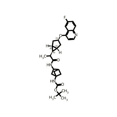 CC(C(=O)NC1CC2(NC(=O)OC(C)(C)C)CC1C2)[C@H]1[C@@H]2C[C@@H](Oc3ccnc4ccc(F)cc34)C[C@@H]21